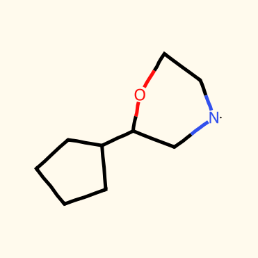 C1CCC(C2C[N]CCO2)C1